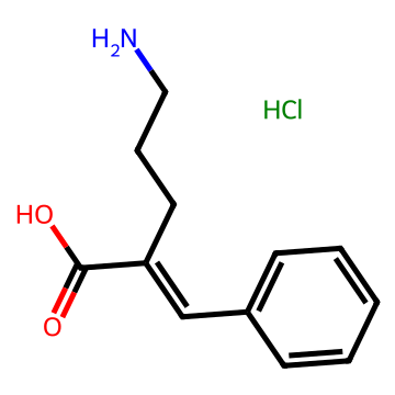 Cl.NCCC/C(=C\c1ccccc1)C(=O)O